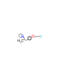 CC(Cc1ccc(OCCCCF)cc1)CN1CCCCC1